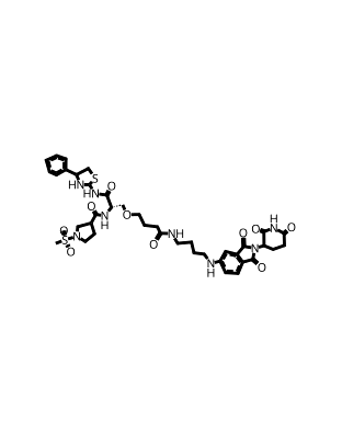 CS(=O)(=O)N1CCC(C(=O)N[C@@H](COCCCC(=O)NCCCCNc2ccc3c(c2)C(=O)N(C2CCC(=O)NC2=O)C3=O)C(=O)NC2NC(c3ccccc3)CS2)C1